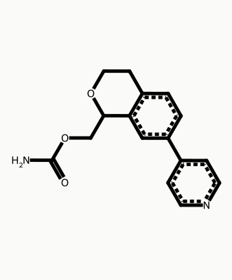 NC(=O)OCC1OCCc2ccc(-c3ccncc3)cc21